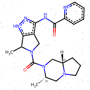 CC1c2[nH]nc(NC(=O)c3ccccn3)c2CN1C(=O)N1C[C@@H]2CCCN2C[C@@H]1C